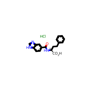 Cl.O=C(N[C@@H](CCc1ccccc1)C(=O)O)c1ccc2[nH]cnc2c1